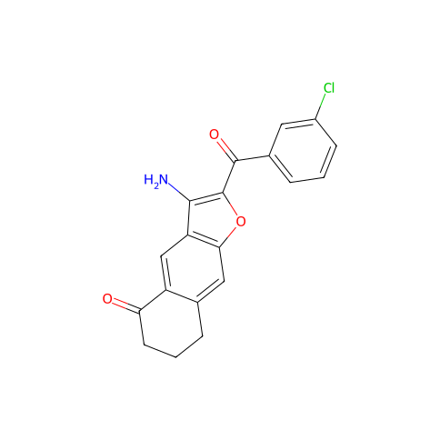 Nc1c(C(=O)c2cccc(Cl)c2)oc2cc3c(cc12)C(=O)CCC3